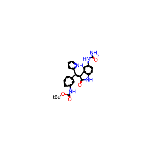 CC(C)(C)OC(=O)Nc1cccc(C(=C2C(=O)Nc3ccc(NC(N)=O)cc32)c2ccc[nH]2)c1